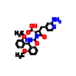 COc1ccccc1C(NC(=O)N1C(=O)[C@H](Cc2ccnc(N)c2)[C@H]1C(=O)O)c1ccccc1OC